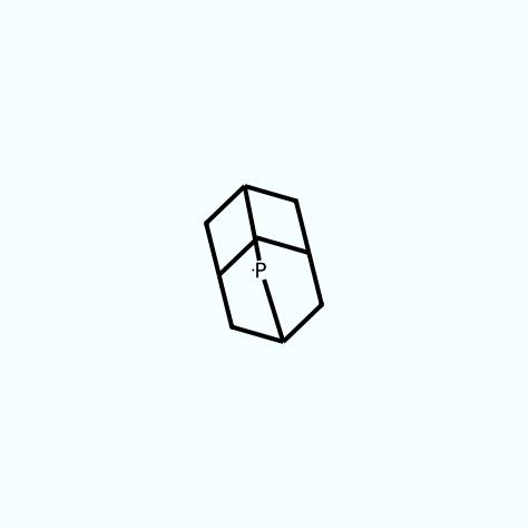 C1C2CC3CC1CC(C2)[P]3